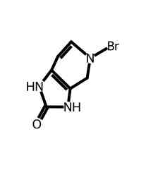 O=c1[nH]c2c([nH]1)CN(Br)C=C2